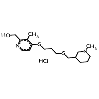 Cc1c(SCCCSCC2CCCN(C)C2)ccnc1CO.Cl